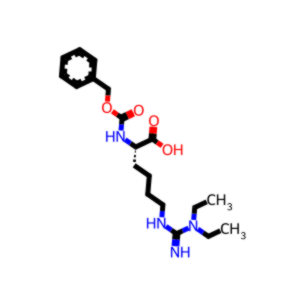 CCN(CC)C(=N)NCCCC[C@H](NC(=O)OCc1ccccc1)C(=O)O